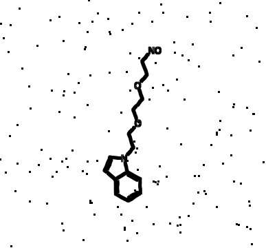 O=NCCOCCOCCn1ccc2ccccc21